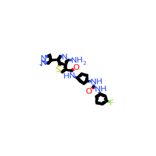 Cn1cc(-c2cnc(N)c3c(C(=O)Nc4ccc(NC(=O)Nc5cccc(F)c5)cc4)csc23)cn1